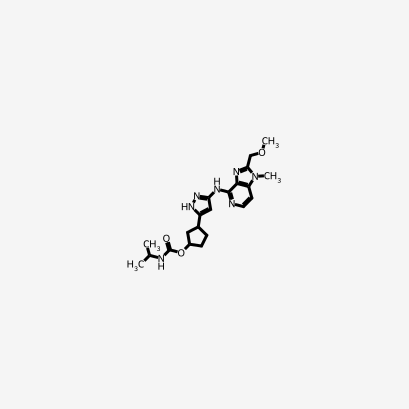 COCc1nc2c(Nc3cc(C4CCC(OC(=O)NC(C)C)C4)[nH]n3)nccc2n1C